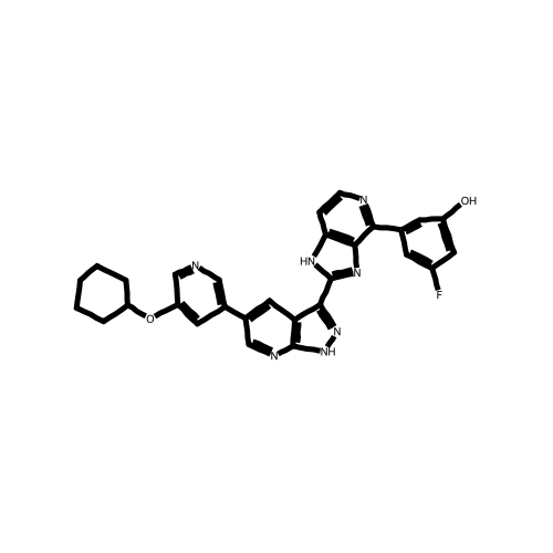 Oc1cc(F)cc(-c2nccc3[nH]c(-c4n[nH]c5ncc(-c6cncc(OC7CCCCC7)c6)cc45)nc23)c1